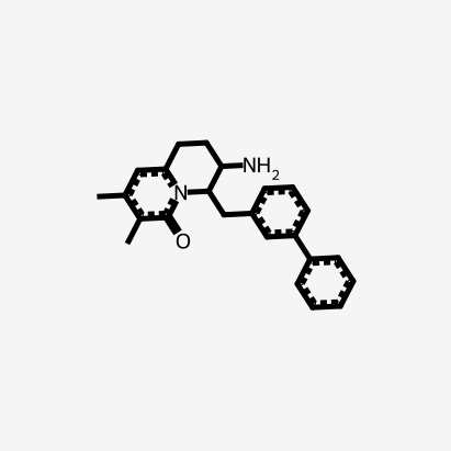 Cc1cc2n(c(=O)c1C)C(Cc1cccc(-c3ccccc3)c1)C(N)CC2